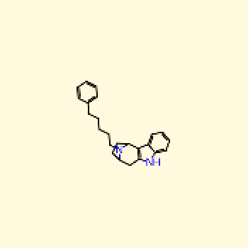 c1ccc(CCCCCN2C3CCC2c2c([nH]c4ccccc24)C3)cc1